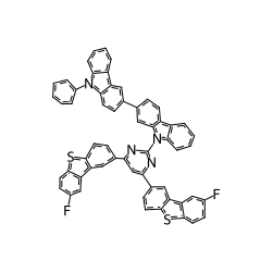 Fc1ccc2sc3ccc(-c4cc(-c5ccc6sc7ccc(F)cc7c6c5)nc(-n5c6ccccc6c6ccc(-c7ccc8c(c7)c7ccccc7n8-c7ccccc7)cc65)n4)cc3c2c1